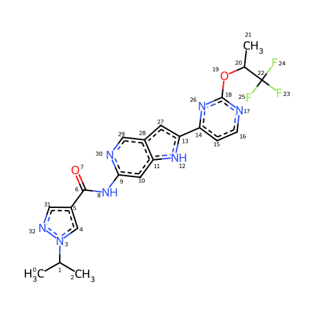 CC(C)n1cc(C(=O)Nc2cc3[nH]c(-c4ccnc(OC(C)C(F)(F)F)n4)cc3cn2)cn1